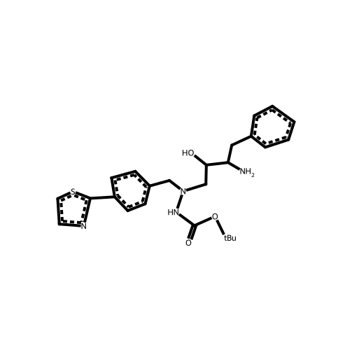 CC(C)(C)OC(=O)NN(Cc1ccc(-c2nccs2)cc1)CC(O)C(N)Cc1ccccc1